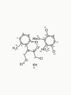 CCOCN(C(=O)CCl)c1c(C)cccc1CC.COc1c(Cl)ccc(Cl)c1C(=O)O.[KH]